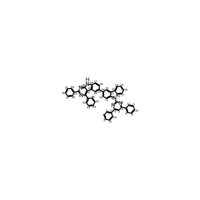 c1ccc(-c2cc(-c3ccccc3)nc(-n3c4ccccc4c4cc(-c5ccc6[nH]c7nc(-c8ccccc8)nc(-c8ccccc8)c7c6c5)ccc43)n2)cc1